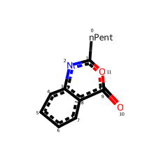 CCCCCc1nc2ccccc2c(=O)o1